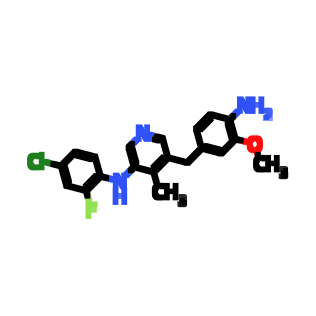 COc1cc(Cc2cncc(Nc3ccc(Cl)cc3F)c2C)ccc1N